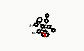 CC(C)(C)c1ccc(N2c3cc4c(cc3B3c5cc(-c6ccccc6)ccc5N(c5ccc(-c6ccccc6)cc5)c5cc(N6c7ccc(C(C)(C)C)cc7C7(C)CCCCCCC67C)cc2c53)C(C)(C)CCC4(C)C)c(-c2ccccc2)c1